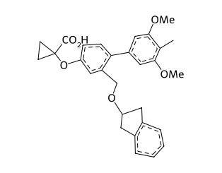 COc1cc(-c2ccc(OC3(C(=O)O)CC3)cc2COC2Cc3ccccc3C2)cc(OC)c1C